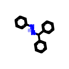 c1ccc(/N=N/C(c2ccccc2)c2ccccc2)cc1